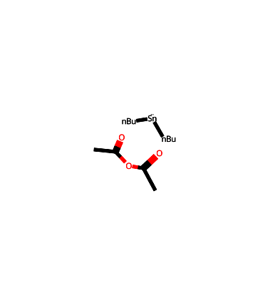 CC(=O)OC(C)=O.CCC[CH2][Sn][CH2]CCC